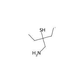 [CH2]CC(S)(CC)CN